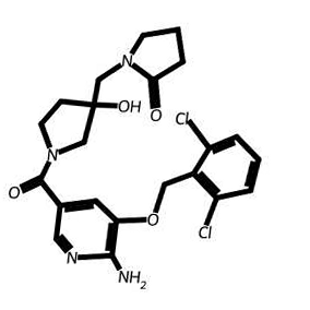 Nc1ncc(C(=O)N2CCC(O)(CN3CCCC3=O)C2)cc1OCc1c(Cl)cccc1Cl